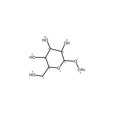 CC(=O)OOC1OC(CO)C(O)C(O)C1O